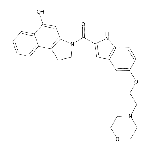 O=C(c1cc2cc(OCCN3CCOCC3)ccc2[nH]1)N1CCc2c1cc(O)c1ccccc21